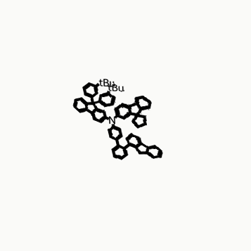 CC(C)(C)c1cccc(C2(c3cccc(C(C)(C)C)c3)c3ccccc3-c3ccc(N(c4ccc(-c5ccccc5-c5cccc6c5Cc5ccccc5-6)cc4)c4ccc5c(c4)C4(CCCC4)c4ccccc4-5)cc32)c1